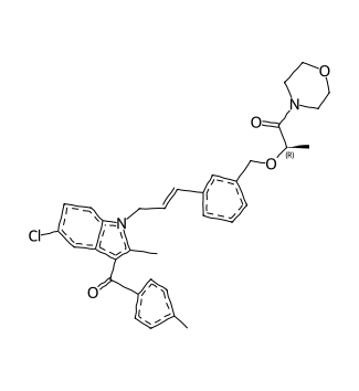 Cc1ccc(C(=O)c2c(C)n(CC=Cc3cccc(CO[C@H](C)C(=O)N4CCOCC4)c3)c3ccc(Cl)cc23)cc1